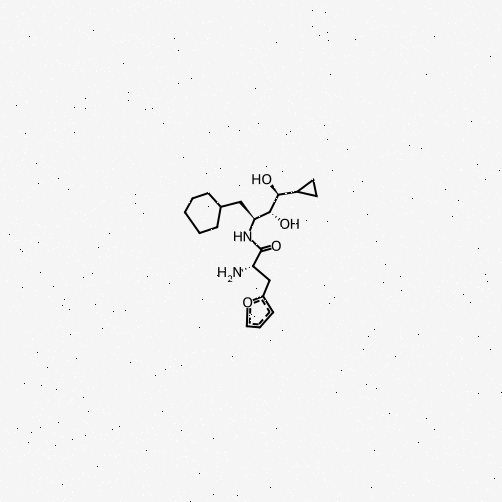 N[C@@H](Cc1ccco1)C(=O)N[C@@H](CC1CCCCC1)[C@@H](O)[C@@H](O)C1CC1